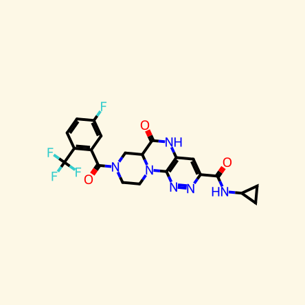 O=C(NC1CC1)c1cc2c(nn1)N1CCN(C(=O)c3cc(F)ccc3C(F)(F)F)CC1C(=O)N2